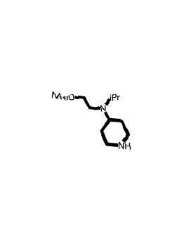 COCCN(C(C)C)C1CCNCC1